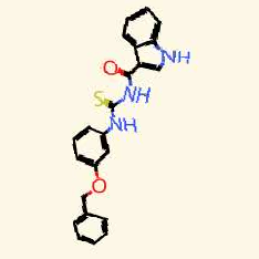 O=C(NC(=S)Nc1cccc(OCc2ccccc2)c1)c1c[nH]c2ccccc12